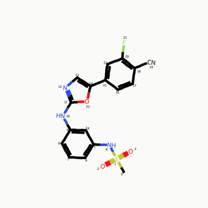 CS(=O)(=O)Nc1cccc(Nc2ncc(-c3ccc(C#N)c(F)c3)o2)c1